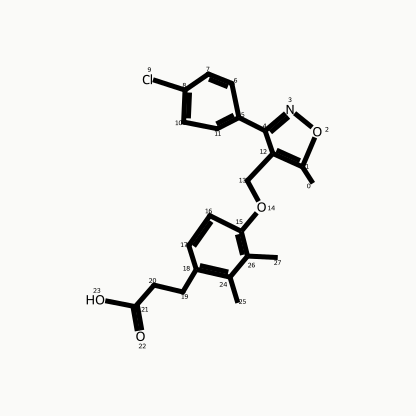 Cc1onc(-c2ccc(Cl)cc2)c1COc1ccc(CCC(=O)O)c(C)c1C